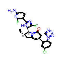 C=C[C@H]1Cc2cc(-c3cc(Cl)ccc3-n3cnnn3)cc(=O)n2[C@@H]1c1[nH]c(-c2ccc(N)nc2F)nc1F